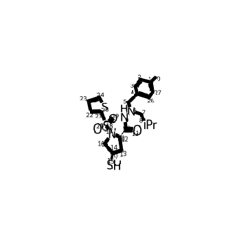 Cc1ccc(CN(CC(C)C)NC(=O)[C@@H]2C[C@@H](S)CN2S(=O)(=O)c2cccs2)cc1